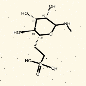 CNC1O[C@H](CCP(=O)(O)O)[C@@H](O)[C@H](O)[C@@H]1O